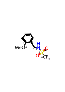 COc1ccccc1CNS(=O)(=O)C(F)(F)F